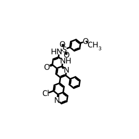 COc1ccc(S(=O)(=O)Nc2cc(=O)c3cc(-c4cc(Cl)c5ncccc5c4)c(-c4ccccc4)nc3[nH]2)cc1